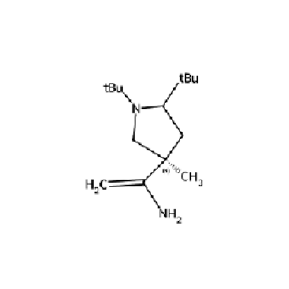 C=C(N)[C@]1(C)CC(C(C)(C)C)N(C(C)(C)C)C1